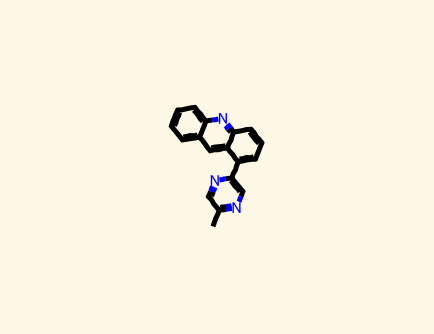 Cc1cnc(-c2cccc3nc4ccccc4cc23)cn1